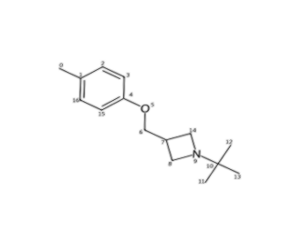 Cc1ccc(OCC2CN(C(C)(C)C)C2)cc1